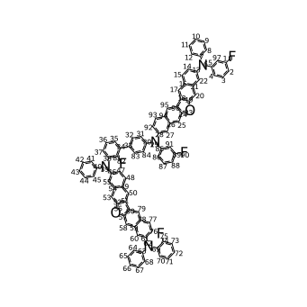 Fc1cccc(N(c2ccccc2)c2ccc3cc4c(cc3c2)oc2cc3cc(N(c5ccc(-c6cccc(N(c7ccccc7)c7ccc8cc9c(cc8c7)oc7cc8cc(N(c%10ccccc%10)c%10ccccc%10F)ccc8cc79)c6F)cc5)c5cccc(F)c5)ccc3cc24)c1